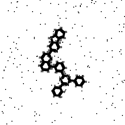 c1ccc(-c2nc(-c3ccccc3)nc(-c3cccc(-c4cccc5ccc(-c6cc7sc8ccccc8c7cn6)nc45)c3)n2)cc1